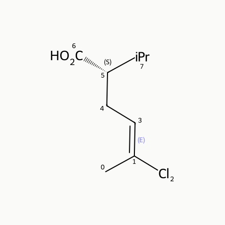 C/C(Cl)=C\C[C@H](C(=O)O)C(C)C